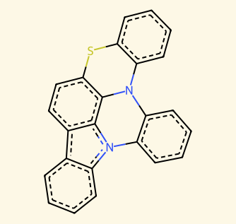 c1ccc2c(c1)Sc1ccc3c4ccccc4n4c3c1N2c1ccccc1-4